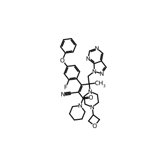 CC(Cn1ncc2cncnc21)(C(=C(C#N)C(=O)N1CCCCC1)c1ccc(Oc2ccccc2)cc1F)N1CCN(C2COC2)CC1